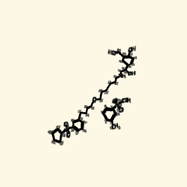 Cc1cccc(S(=O)(=O)O)c1.O=S(=O)(c1cccc(CCCCOCCCCCCNC[C@H](O)c2ccc(O)c(CO)c2)c1)C1CCCC1